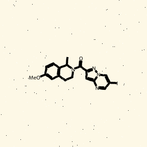 COc1ccc2c(c1)CCN(C(=O)c1cc3ncc(I)cn3n1)C2C